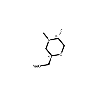 COC[C@H]1CN(C)[C@H](C)CO1